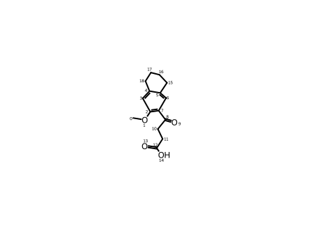 COc1cc2c(cc1C(=O)CCC(=O)O)CCCC2